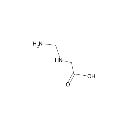 NCNCC(=O)O